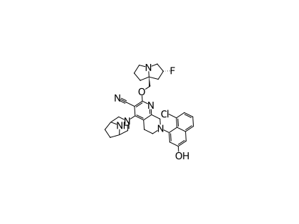 N#Cc1c(OC[C@@]23CCCN2C[C@H](F)C3)nc2c(c1N1CC3CCC(C1)N3)CCN(c1cc(O)cc3cccc(Cl)c13)C2